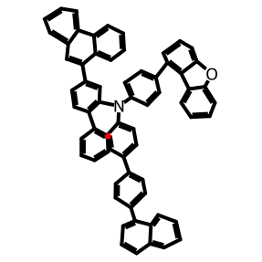 c1ccc(-c2ccc(-c3cc4ccccc4c4ccccc34)cc2N(c2ccc(-c3ccc(-c4cccc5ccccc45)cc3)cc2)c2ccc(-c3cccc4oc5ccccc5c34)cc2)cc1